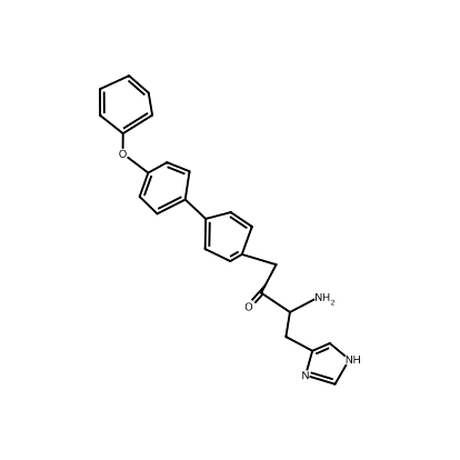 NC(Cc1c[nH]cn1)C(=O)Cc1ccc(-c2ccc(Oc3ccccc3)cc2)cc1